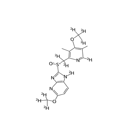 [2H]c1nc(C([2H])([2H])[S+]([O-])c2nc3nc(OC([2H])([2H])[2H])ccc3n2[2H])c(C)c(OC([2H])([2H])[2H])c1C